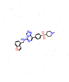 CN1CCC(S(=O)(=O)c2ccc(-c3cnc(NCc4cccc5occc45)n4cnnc34)cc2)CC1